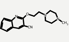 CN1CCN(CCOc2nc3ccccc3cc2C#N)CC1